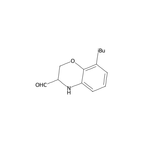 CCC(C)c1cccc2c1OCC(C=O)N2